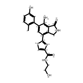 Cc1ccc(O)cc1-c1cc(-c2nc(C(=O)NCCO)cs2)c2c(c1N)C(=O)NC2